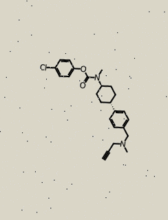 C#CCN(C)Cc1ccc([C@H]2CC[C@H](N(C)C(=O)Oc3ccc(Cl)cc3)CC2)cc1